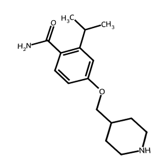 CC(C)c1cc(OCC2CCNCC2)ccc1C(N)=O